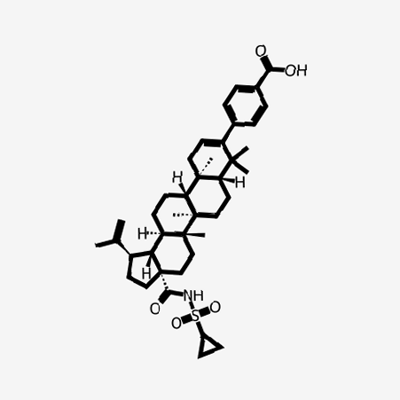 C=C(C)[C@@H]1CC[C@]2(C(=O)NS(=O)(=O)C3CC3)CC[C@]3(C)[C@H](CC[C@@H]4[C@@]5(C)CC=C(c6ccc(C(=O)O)cc6)C(C)(C)[C@@H]5CC[C@]43C)[C@@H]12